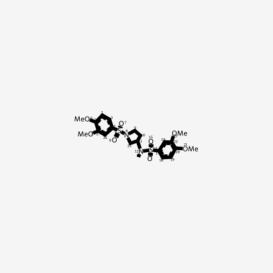 COc1ccc(S(=O)(=O)N2CCC(N(C)S(=O)(=O)c3ccc(OC)c(OC)c3)C2)cc1OC